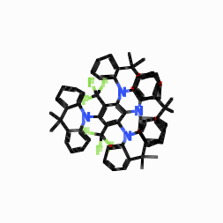 CC1(C)c2ccccc2N(c2c(N3c4ccccc4C(C)(C)c4ccccc43)c(C(F)(F)F)c(N3c4ccccc4C(C)(C)c4ccccc43)c(C(F)(F)F)c2N2c3ccccc3C(C)(C)c3ccccc32)c2ccccc21